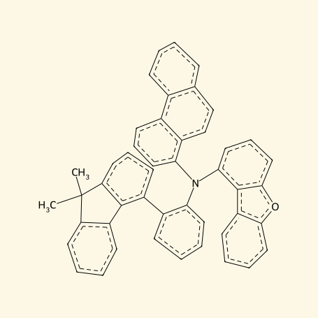 CC1(C)c2ccccc2-c2c(-c3ccccc3N(c3cccc4c3ccc3ccccc34)c3cccc4oc5ccccc5c34)cccc21